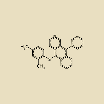 Cc1ccc(Sc2c3ccccc3c(-c3ccccc3)c3cnccc23)c(C)c1